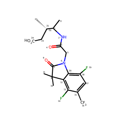 CC(NC(=O)CN1C(=O)C(C)(C)c2c(F)c(C(F)(F)F)cc(F)c21)[C@@H](C)CC(=O)O